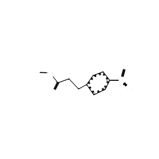 COC(=O)CCc1ccc([SH](=O)=O)cc1